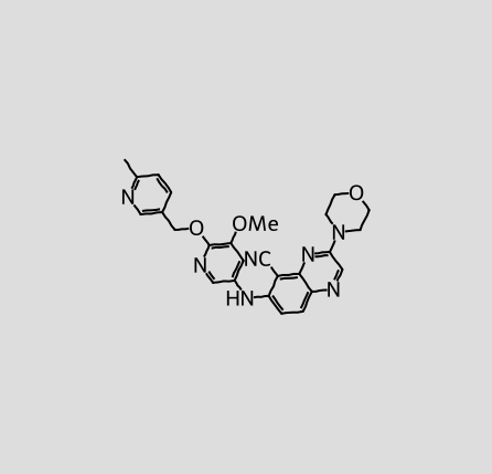 COc1cc(Nc2ccc3ncc(N4CCOCC4)nc3c2C#N)cnc1OCc1ccc(C)nc1